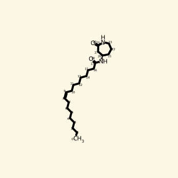 CCCCCCCC/C=C\CCCCCCCC(=O)N[C@@H]1CCCNC(=O)C1